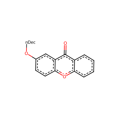 CCCCCCCCCCOc1ccc2oc3ccccc3c(=O)c2c1